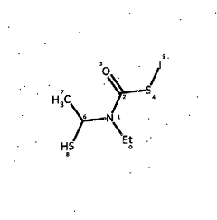 CCN(C(=O)SI)C(C)S